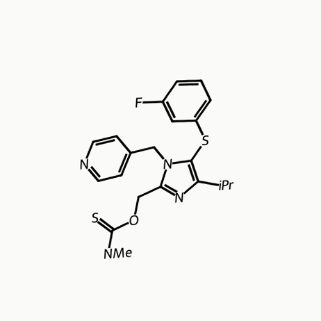 CNC(=S)OCc1nc(C(C)C)c(Sc2cccc(F)c2)n1Cc1ccncc1